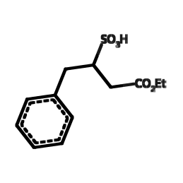 CCOC(=O)CC(Cc1ccccc1)S(=O)(=O)O